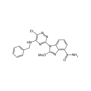 CCc1nnc(-n2c(OC)nc3c(C(N)=O)cccc32)nc1NCc1ccccc1